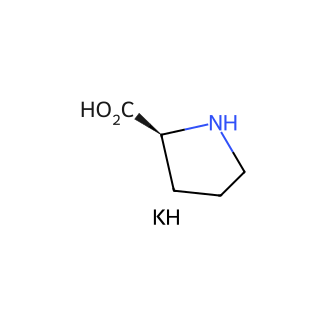 O=C(O)[C@@H]1CCCN1.[KH]